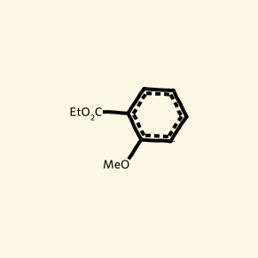 CCOC(=O)c1ccc[c]c1OC